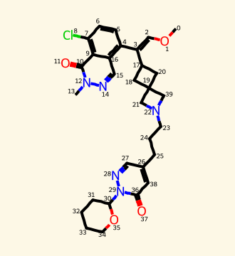 CO/C=C(/c1ccc(Cl)c2c(=O)n(C)ncc12)C1CC2(C1)CN(CCCc1cnn(C3CCCCO3)c(=O)c1)C2